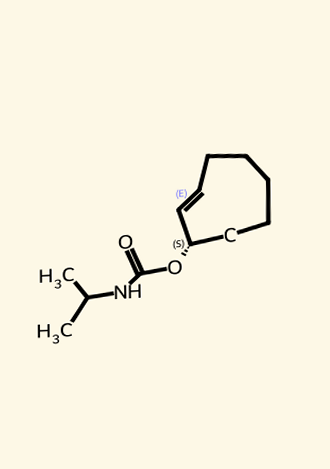 CC(C)NC(=O)O[C@@H]1/C=C/CCCCC1